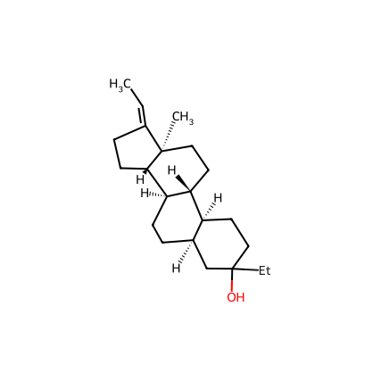 CC=C1CC[C@H]2[C@@H]3CC[C@@H]4CC(O)(CC)CC[C@@H]4[C@H]3CC[C@]12C